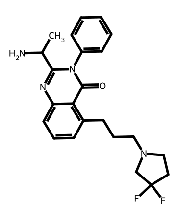 CC(N)c1nc2cccc(CCCN3CCC(F)(F)C3)c2c(=O)n1-c1ccccc1